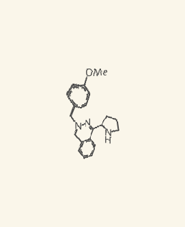 COc1ccc(CN2Cc3ccccc3C(C3CCCN3)=N2)cc1